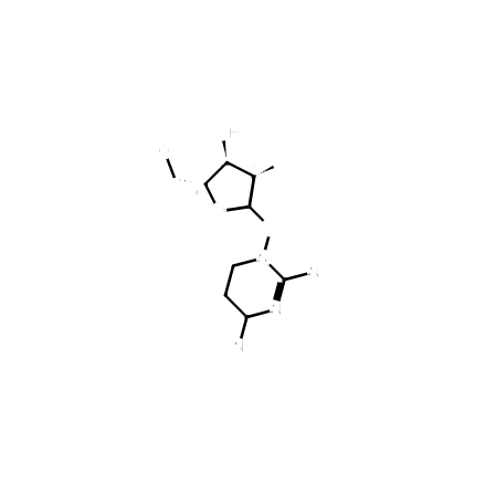 NC1=NC(N)CCN1OC1O[C@H](CO)[C@@H](O)[C@H]1O